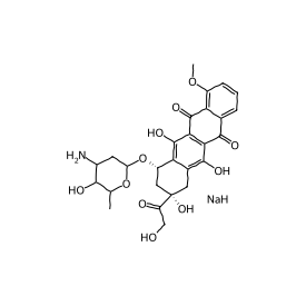 COc1cccc2c1C(=O)c1c(O)c3c(c(O)c1C2=O)C[C@@](O)(C(=O)CO)C[C@@H]3OC1CC(N)C(O)C(C)O1.[NaH]